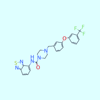 O=C(Nc1cccc2nsnc12)N1CCN(Cc2cccc(Oc3cccc(C(F)(F)F)c3)c2)CC1